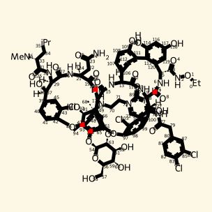 CCONC(=O)[C@@H]1NC(=O)[C@H]2NC(=O)[C@H](NC(=O)[C@@H]3NC(=O)[C@H](CC(N)=O)NC(=O)[C@H](NC(=O)[C@@H](CC(C)C)NC)[C@H](O)c4ccc(c(Cl)c4)Oc4cc3cc(c4O[C@@H]3O[C@H](CO)[C@@H](O)[C@H](O)[C@H]3O[C@H]3C[C@](C)(NCCn4ccc(NC(=O)Cc5ccc(Cl)c(Cl)c5)nc4=O)[C@H](O)[C@H](C)O3)Oc3ccc(cc3Cl)[C@H]2O)c2ccc(O)c(c2)-c2c(O)cc(O)cc21